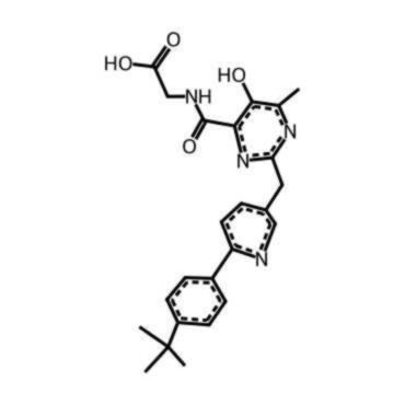 Cc1nc(Cc2ccc(-c3ccc(C(C)(C)C)cc3)nc2)nc(C(=O)NCC(=O)O)c1O